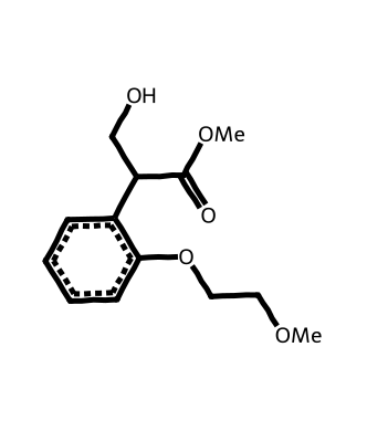 COCCOc1ccccc1C(CO)C(=O)OC